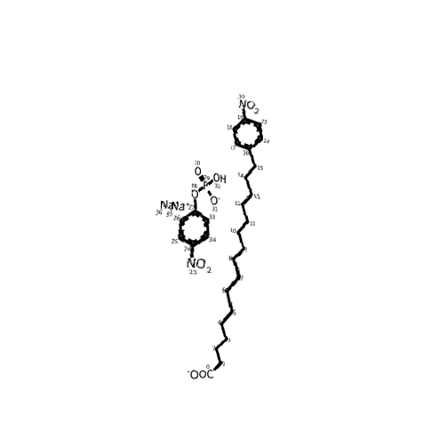 O=C([O-])CCCCCCCCCCCCCCCc1ccc([N+](=O)[O-])cc1.O=[N+]([O-])c1ccc(OP(=O)([O-])O)cc1.[Na+].[Na+]